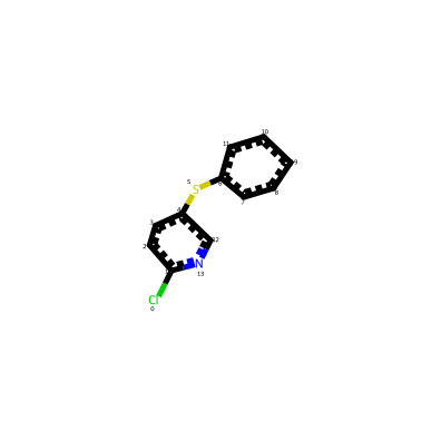 Clc1ccc(Sc2ccccc2)cn1